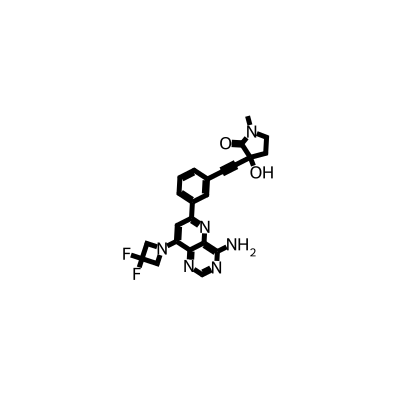 CN1CCC(O)(C#Cc2cccc(-c3cc(N4CC(F)(F)C4)c4ncnc(N)c4n3)c2)C1=O